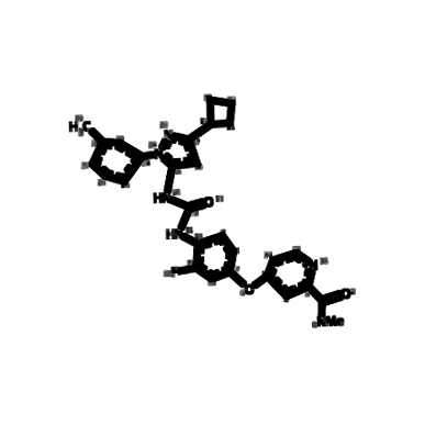 CNC(=O)c1cc(Oc2ccc(NC(=O)Nc3cc(C4CCC4)nn3-c3cccc(C)c3)c(F)c2)ccn1